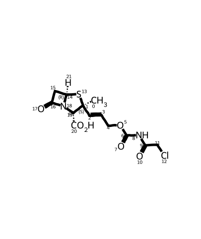 C[C@@]1(C=CCOC(=O)NC(=O)CCl)S[C@@H]2CC(=O)N2[C@H]1C(=O)O